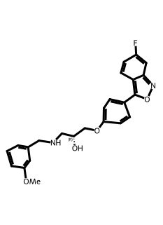 COc1cccc(CNC[C@@H](O)COc2ccc(-c3onc4cc(F)ccc34)cc2)c1